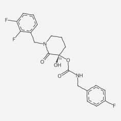 O=C(NCc1ccc(F)cc1)O[C@@]1(O)CCCN(Cc2cccc(F)c2F)C1=O